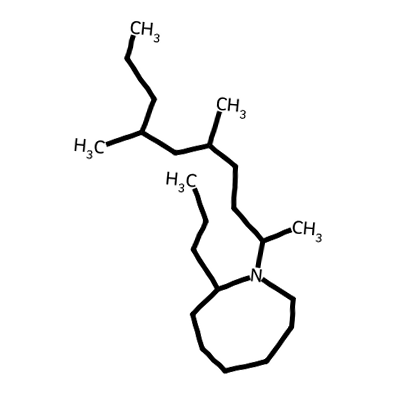 CCCC(C)CC(C)CCC(C)N1CCCCCCC1CCC